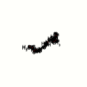 CN[C@@H](C)C(=O)N[C@H](C(=O)N1C[C@@H](NC(=O)CCC(=O)NCCCN2C[C@H]3C[C@@H](OCC(=O)NCCCNc4cc(N5CCC6(CC5)CN(c5cc(F)c(CN7CCC(C)(C)CC7)cc5F)CC(=O)N6)ncn4)C[C@H]3C2)C[C@H]1C(=O)NC1CCCc2ccccc21)C1CCCCC1